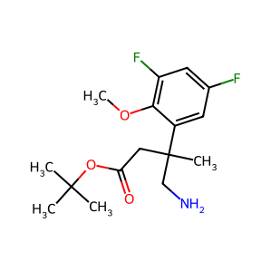 COc1c(F)cc(F)cc1C(C)(CN)CC(=O)OC(C)(C)C